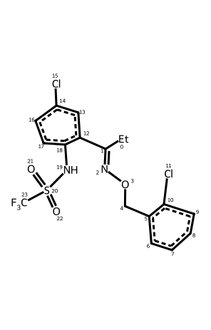 CC/C(=N\OCc1ccccc1Cl)c1cc(Cl)ccc1NS(=O)(=O)C(F)(F)F